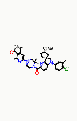 COC(=O)c1c(C)cc(N2CCN(C(=O)c3ccc4c(n3)C3(CC[C@H](OC)C3)CN4c3ccc(Cl)c(C)c3)C(C)(C)C2)nc1C